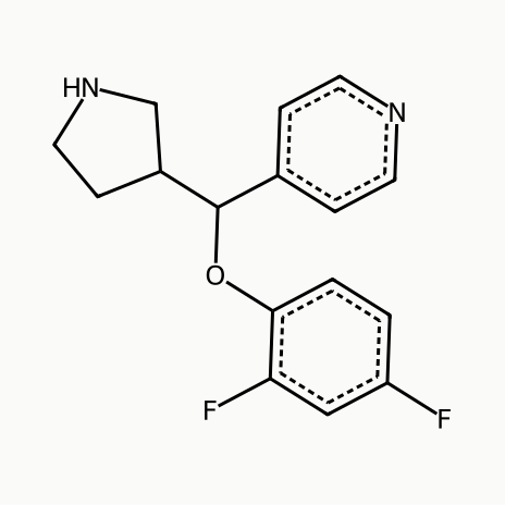 Fc1ccc(OC(c2ccncc2)C2CCNC2)c(F)c1